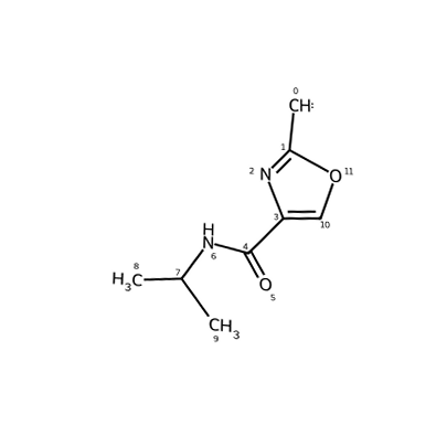 [CH]c1nc(C(=O)NC(C)C)co1